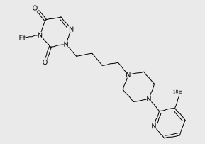 CCn1c(=O)cnn(CCCCN2CCN(c3ncccc3[18F])CC2)c1=O